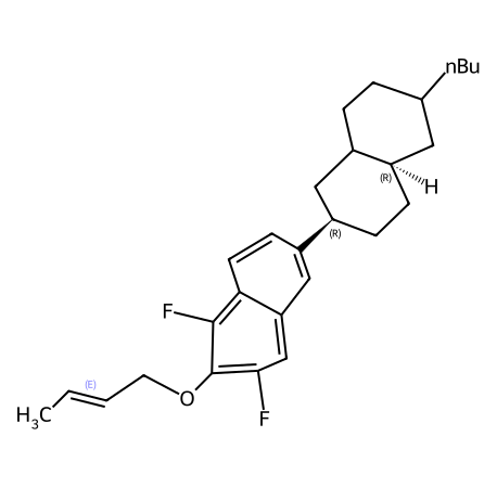 C/C=C/COc1c(F)cc2cc([C@@H]3CC[C@@H]4CC(CCCC)CCC4C3)ccc2c1F